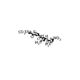 CCOC(=O)/C=C/C(=O)c1cc(NC(=O)c2cc(NC(=O)c3nc([N+](=O)[O-])cn3C)cn2C)cn1C